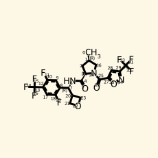 C[C@@H]1C[C@H](C(=O)N[C@@H](c2cc(F)c(C(F)(F)F)cc2F)C2COC2)N(C(=O)c2cc(C(F)(F)F)no2)C1